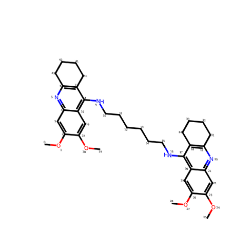 COc1cc2nc3c(c(NCCCCCCNc4c5c(nc6cc(OC)c(OC)cc46)CCCC5)c2cc1OC)CCCC3